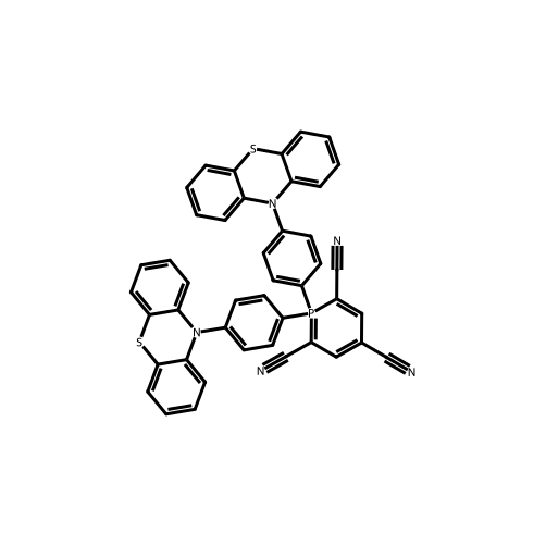 N#CC1=CC(C#N)=P(c2ccc(N3c4ccccc4Sc4ccccc43)cc2)(c2ccc(N3c4ccccc4Sc4ccccc43)cc2)C(C#N)=C1